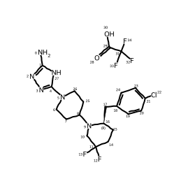 Nc1nnc(N2CCC(N3CC(F)(F)CC[C@@H]3Cc3ccc(Cl)cc3)CC2)[nH]1.O=C(O)C(F)(F)F